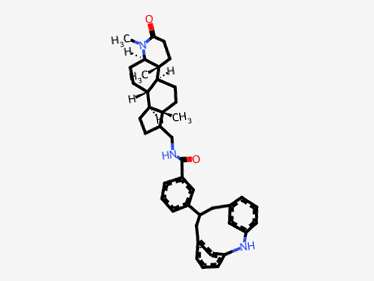 CN1C(=O)CC[C@]2(C)[C@H]3CC[C@]4(C)C(CNC(=O)c5cccc(C6Cc7cccc(c7)Nc7cccc(c7)C6)c5)CC[C@H]4[C@@H]3CC[C@@H]12